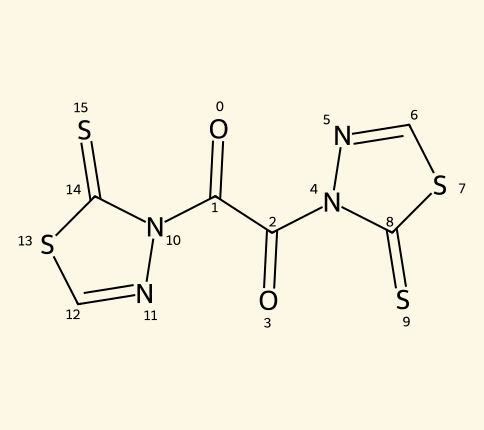 O=C(C(=O)n1ncsc1=S)n1ncsc1=S